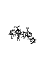 CC(C)c1nc(N2CCN(C(=O)Cc3cccs3)[C@H](C(C)C)C2)c(C#N)c2c1COC(C)(C)C2